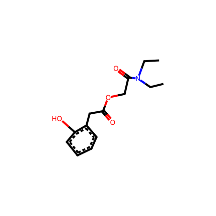 CCN(CC)C(=O)COC(=O)Cc1ccccc1O